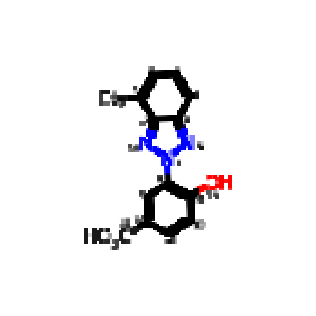 CCc1cccc2nn(-c3cc(C(=O)O)ccc3O)nc12